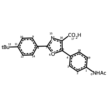 CC(=O)Nc1ccc(-c2oc(-c3ccc(C(C)(C)C)cc3)nc2C(=O)O)cc1